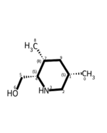 C[C@@H]1CN[C@H](CO)[C@H](C)C1